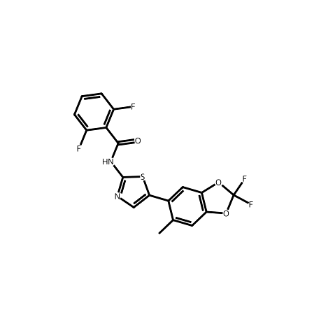 Cc1cc2c(cc1-c1cnc(NC(=O)c3c(F)cccc3F)s1)OC(F)(F)O2